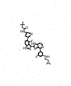 CN(C)CCNc1cc(F)cc(-c2nccc3[nH]c(-c4n[nH]c5ccc(-c6cncc(NC(=O)CC(C)(C)C)c6)c(F)c45)nc23)c1